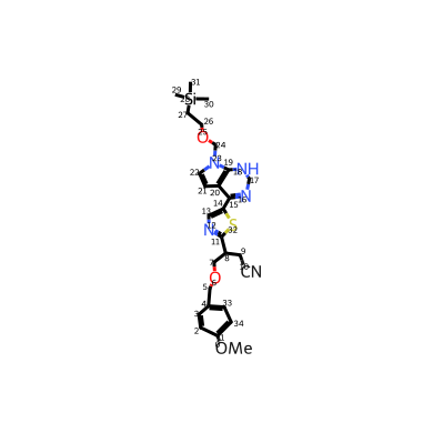 COc1ccc(COCC(CC#N)c2ncc(C3=NCNc4c3ccn4COCC[Si](C)(C)C)s2)cc1